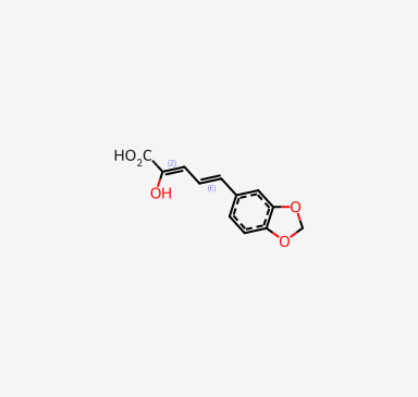 O=C(O)/C(O)=C/C=C/c1ccc2c(c1)OCO2